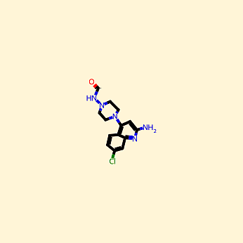 Nc1cc(N2CCN(N[C]=O)CC2)c2ccc(Cl)cc2n1